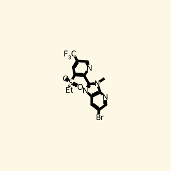 CCS(=O)(=O)c1cc(C(F)(F)F)cnc1-c1nc2cc(Br)cnc2n1C